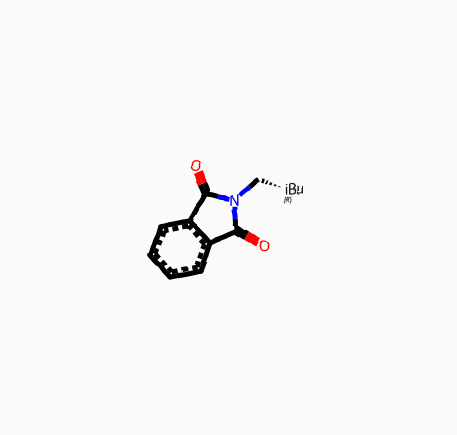 CC[C@@H](C)CN1C(=O)c2ccccc2C1=O